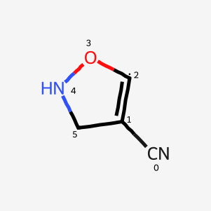 N#CC1=[C]ONC1